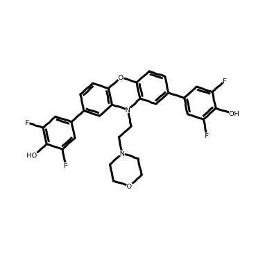 Oc1c(F)cc(-c2ccc3c(c2)N(CCN2CCOCC2)c2cc(-c4cc(F)c(O)c(F)c4)ccc2O3)cc1F